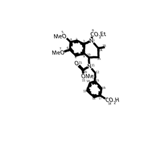 CCOC(=O)N1c2cc(OC)c(OC)cc2C(N(Cc2cccc(C(=O)O)c2)C(=O)OC)CC1C